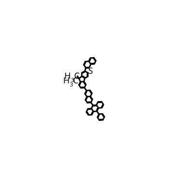 CC1(C)c2ccc(-c3ccc4cc(-c5c6ccccc6c(-c6ccccc6)c6ccccc56)ccc4c3)cc2-c2cc3sc4c5ccccc5ccc4c3cc21